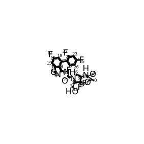 CS(=O)(=O)N[C@@H]1CN(C(=O)Nc2noc3cc(F)cc(-c4c(F)cc(F)cc4F)c23)[C@H](CO)C1(F)F